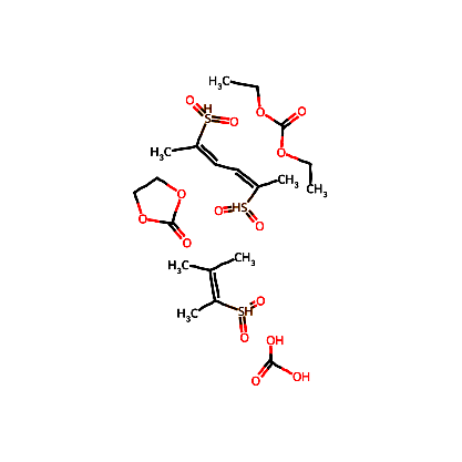 CC(=CC=C(C)[SH](=O)=O)[SH](=O)=O.CC(C)=C(C)[SH](=O)=O.CCOC(=O)OCC.O=C(O)O.O=C1OCCO1